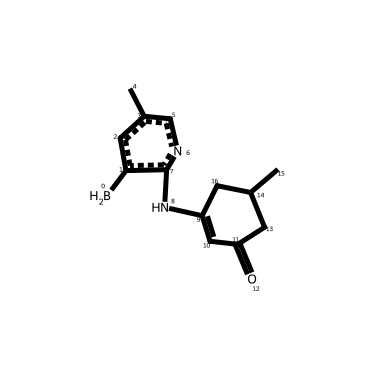 Bc1cc(C)cnc1NC1=CC(=O)CC(C)C1